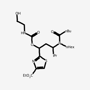 CCCCCCN(C(=O)CCCC)C(CC(OC(=O)NCCO)c1nc(C(=O)OCC)cs1)C(C)C